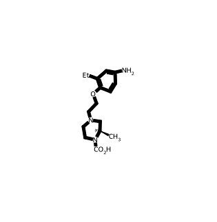 CCc1cc(N)ccc1OCCN1CCN(C(=O)O)[C@H](C)C1